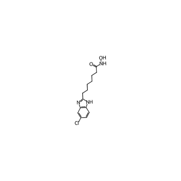 O=C(CCCCCCc1nc2cc(Cl)ccc2[nH]1)NO